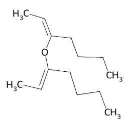 C/C=C(/CCCC)O/C(=C\C)CCCC